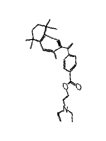 C=C(c1ccc(C(=O)OCCN(CC)CC)cc1)c1cc2c(cc1C)C(C)(C)CCC2(C)C